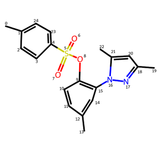 Cc1ccc(S(=O)(=O)Oc2ccc(C)cc2-n2nc(C)cc2C)cc1